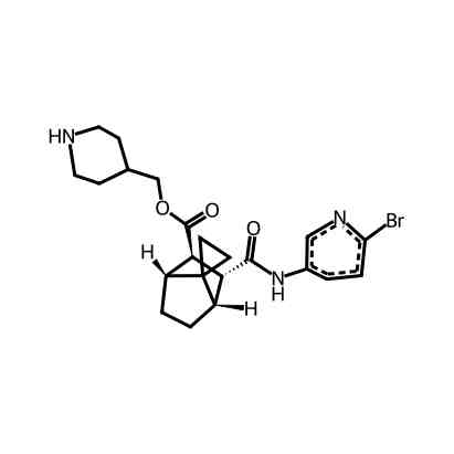 O=C(OCC1CCNCC1)[C@H]1[C@H](C(=O)Nc2ccc(Br)nc2)[C@@H]2CC[C@H]1C21CC1